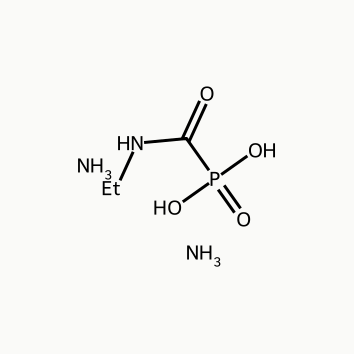 CCNC(=O)P(=O)(O)O.N.N